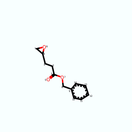 O=C(CCC1CO1)OCc1ccccc1